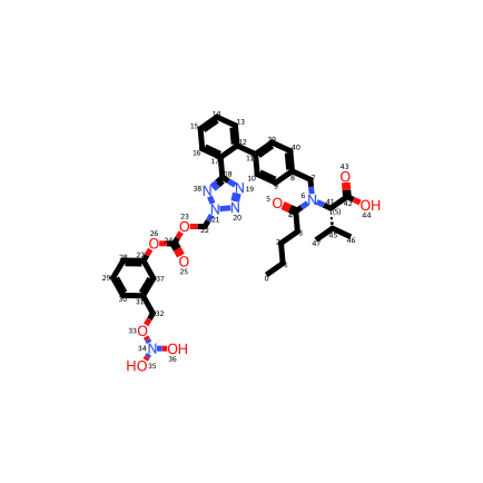 CCCCC(=O)N(Cc1ccc(-c2ccccc2-c2nnn(COC(=O)Oc3cccc(CON(O)O)c3)n2)cc1)[C@H](C(=O)O)C(C)C